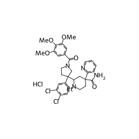 CCN1CCC(C(N)=O)(c2ccccn2)CC1C1(c2ccc(Cl)c(Cl)c2)CCN(C(=O)c2cc(OC)c(OC)c(OC)c2)C1.Cl